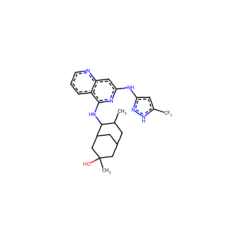 CC1CC2CC(CC(C)(O)C2)C1Nc1nc(Nc2cc(C(F)(F)F)[nH]n2)cc2ncccc12